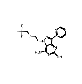 Nc1nc(N)c2c(n1)c(-c1ccncn1)nn2CCOCC(F)(F)F